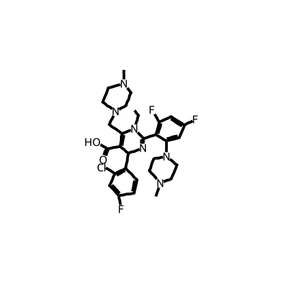 CCN1C(c2c(F)cc(F)cc2N2CCN(C)CC2)=NC(c2ccc(F)cc2Cl)C(C(=O)O)=C1CN1CCN(C)CC1